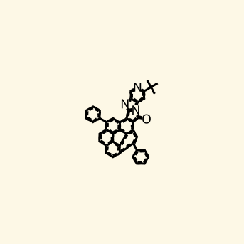 CC(C)(C)c1cc2c(cn1)nc1c3c4cc(-c5ccccc5)c5ccc6ccc7c(-c8ccccc8)cc(c3c(=O)n21)c1c7c6c5c41